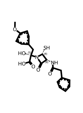 COc1ccc(C[C@](O)(C(=O)O)N2C(=O)[C@@H](NC(=O)Cc3ccccc3)[C@H]2S)cc1